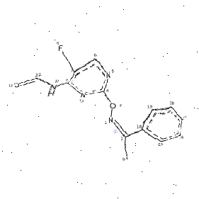 C/C(=N/Oc1ncc(F)c(NC=O)n1)c1ccccc1